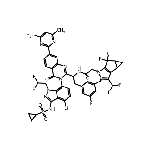 Cc1cc(C)nc(-c2ccc3c(=O)n(-c4ccc(Cl)c5c(NS(=O)(=O)C6CC6)nn(CC(F)F)c45)c(C(Cc4cc(F)cc(F)c4)NC(=O)Cn4nc(C(F)F)c5c4C(F)(F)C4CC54)nc3c2)n1